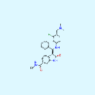 CCNC(=O)c1ccc2c(c1)NC(=O)/C2=C(\Nc1ccc(CN(C)C)c(F)c1)c1ccccc1